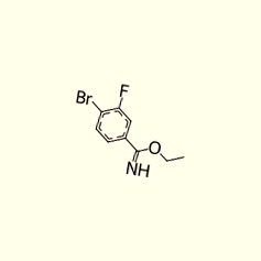 CCOC(=N)c1ccc(Br)c(F)c1